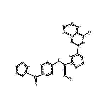 C/C=C(/Nc1ccc(C(=O)c2ccccc2)cc1)c1cccc(-c2cc(O)c3ncccc3c2)c1